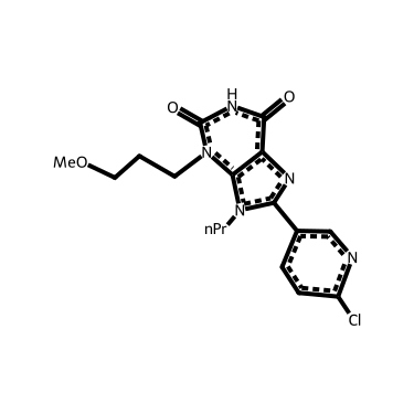 CCCn1c(-c2ccc(Cl)nc2)nc2c(=O)[nH]c(=O)n(CCCOC)c21